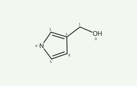 OCC1=C[N]C=C1